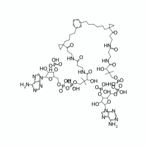 CC(C)(COP(=O)(O)OP(=O)(O)OCC1OC(n2cnc3c(N)ncnc32)C(O)C1OP(=O)(O)O)C(O)C(=O)NCCC(=O)NCCC(=O)C1(CCCCCCc2cccc(CCCCC3(C(=O)CCNC(=O)CCNC(=O)C(O)C(C)(C)COP(=O)(O)OP(=O)(O)OCC4OC(n5cnc6c(N)ncnc65)C(O)C4OP(=O)(O)O)CC3)c2)CC1